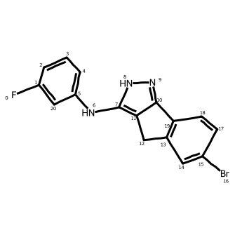 Fc1cccc(Nc2[nH]nc3c2Cc2cc(Br)ccc2-3)c1